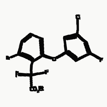 CCOC(=O)C(F)(F)c1c(Br)cccc1Oc1cc(F)cc(Cl)c1